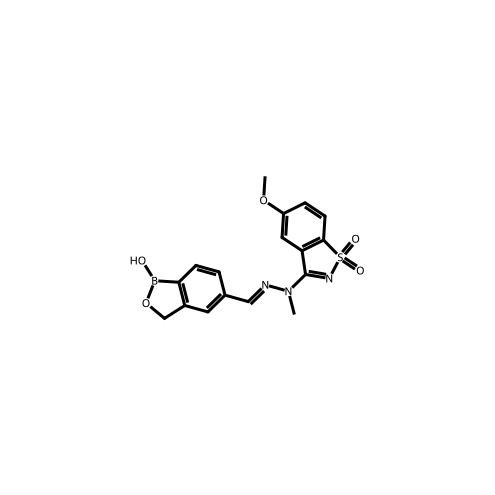 COc1ccc2c(c1)C(N(C)/N=C/c1ccc3c(c1)COB3O)=NS2(=O)=O